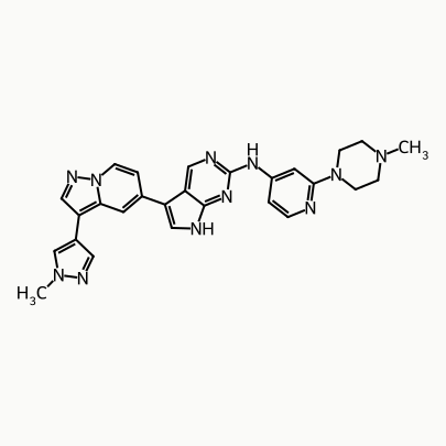 CN1CCN(c2cc(Nc3ncc4c(-c5ccn6ncc(-c7cnn(C)c7)c6c5)c[nH]c4n3)ccn2)CC1